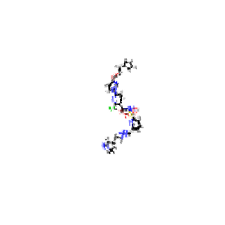 CC1(C)C[C@H](CCNCc2cccc(S(=O)(=O)NC(=O)c3ccc(-n4ccc(OCCC5CCCC5)n4)nc3Cl)n2)CN1